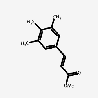 COC(=O)/C=C/c1cc(C)c(N)c(C)c1